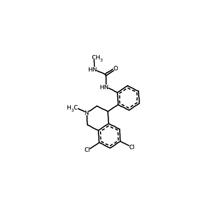 CNC(=O)Nc1ccccc1C1CN(C)Cc2c(Cl)cc(Cl)cc21